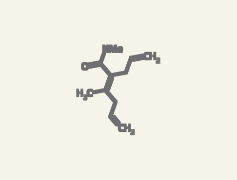 C=CC/C(C)=C(\CC=C)C(=O)NC